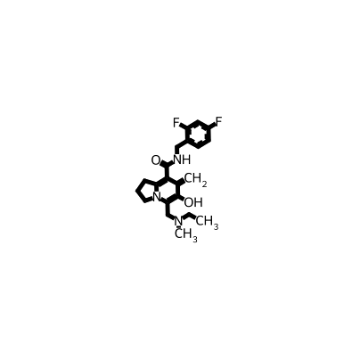 C=C1C(O)=C(CN(C)CC)N2CCCC2=C1C(=O)NCc1ccc(F)cc1F